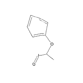 CC(Oc1ccccc1)I=O